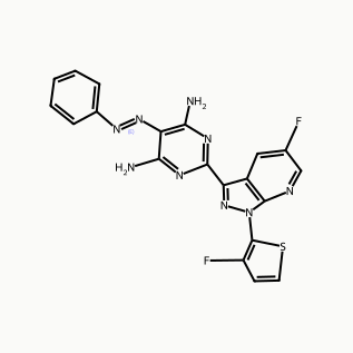 Nc1nc(-c2nn(-c3sccc3F)c3ncc(F)cc23)nc(N)c1/N=N/c1ccccc1